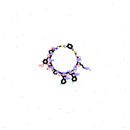 CO[C@@H](C)[C@@H]1NC(=O)[C@@H]2CCCN2C(=O)[C@H](Cc2c[nH]c3ccc(F)cc23)NC(=O)[C@H](Cc2c[nH]c3ccc(F)cc23)NC(=O)CNC(=O)[C@H](CCCCN)NC(=O)CCSCc2cccc(c2)CSCCNC(=O)[C@]2(C)CCCN2C(=O)[C@H](Cc2ccc(O)cc2)NC1=O